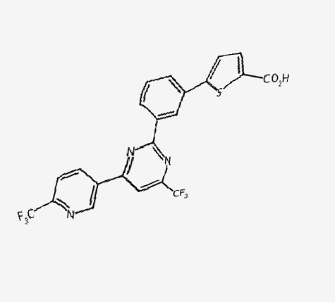 O=C(O)c1ccc(-c2cccc(-c3nc(-c4ccc(C(F)(F)F)nc4)cc(C(F)(F)F)n3)c2)s1